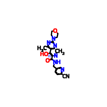 C=N/C(C(=O)NCc1ccc(C#N)nc1)=C(/O)c1cnc(N2CCOCC2)nc1C